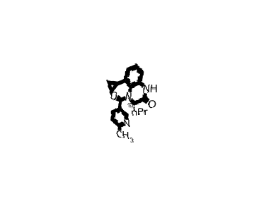 CCC[C@H]1C(=O)Nc2cccc(C3CC3)c2N1C(=O)c1ccc(C)nc1